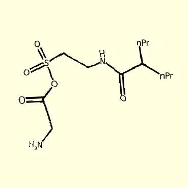 CCCC(CCC)C(=O)NCCS(=O)(=O)OC(=O)CN